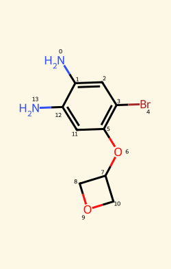 Nc1cc(Br)c(OC2COC2)cc1N